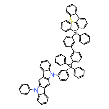 c1ccc(-n2c3ccccc3c3cc4c(cc32)c2ccccc2n4-c2cccc([Si](c3ccccc3)(c3ccccc3)c3cccc(-c4cccc([Si](c5ccccc5)(c5ccccc5)c5cccc6c5sc5ccccc56)c4)c3)c2)cc1